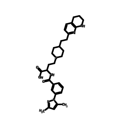 Cc1cc(C)n(-c2cccc(C(=O)NC(CCN3CCC(CCc4ccc5c(n4)NCCC5)CC3)C(=O)O)c2)n1